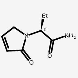 CC[C@@H](C(N)=O)N1CC=CC1=O